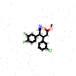 COC(=O)CC(c1cccc(Cl)c1)C(C#N)c1ccc(F)c(F)c1